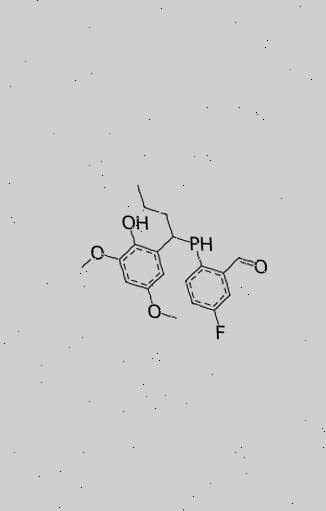 CCCC(Pc1ccc(F)cc1C=O)c1cc(OC)cc(OC)c1O